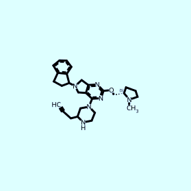 C#CCC1CN(c2nc(OC[C@@H]3CCCN3C)nc3c2CN(C2CCc4ccccc42)C3)CCN1